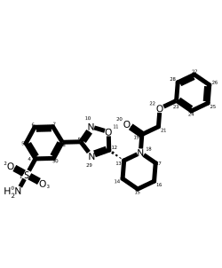 NS(=O)(=O)c1cccc(-c2noc([C@H]3CCCCN3C(=O)COc3ccccc3)n2)c1